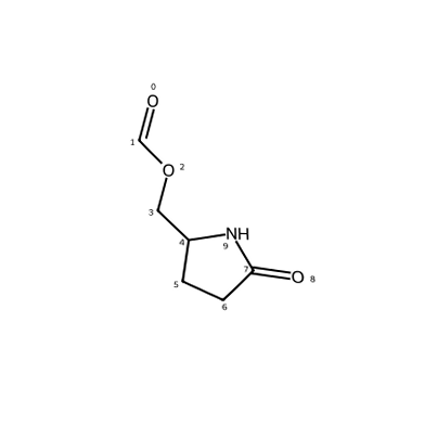 O=COCC1CCC(=O)N1